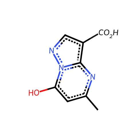 Cc1cc(O)n2ncc(C(=O)O)c2n1